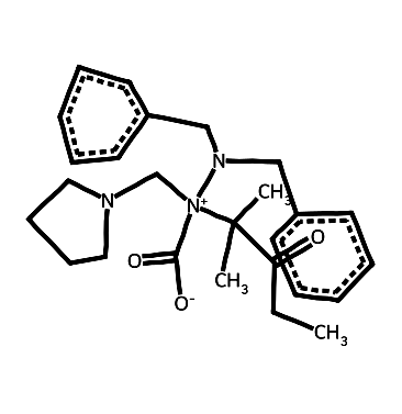 CCC(=O)C(C)(C)[N+](CN1CCCC1)(C(=O)[O-])N(Cc1ccccc1)Cc1ccccc1